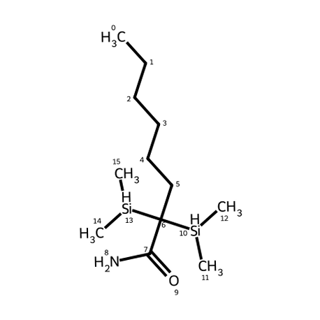 CCCCCCC(C(N)=O)([SiH](C)C)[SiH](C)C